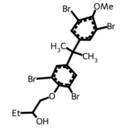 CCC(O)COc1c(Br)cc(C(C)(C)c2cc(Br)c(OC)c(Br)c2)cc1Br